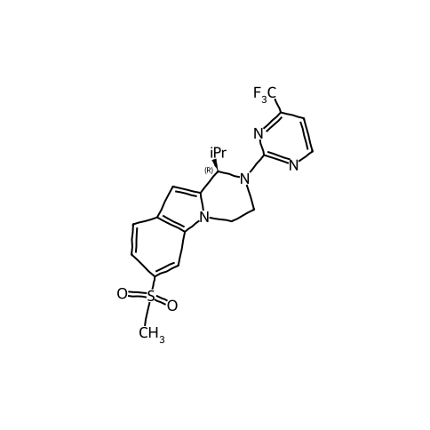 CC(C)[C@@H]1c2cc3ccc(S(C)(=O)=O)cc3n2CCN1c1nccc(C(F)(F)F)n1